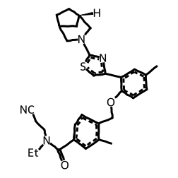 CCN(CCC#N)C(=O)c1ccc(COc2ccc(C)cc2-c2csc(N3CC4CC[C@@H](C4)C3)n2)c(C)c1